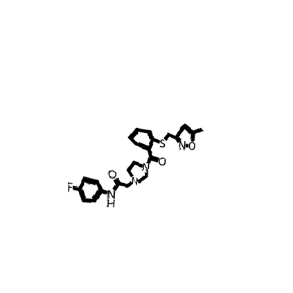 Cc1cc(CSc2ccccc2C(=O)N2CCN(CC(=O)Nc3ccc(F)cc3)CC2)no1